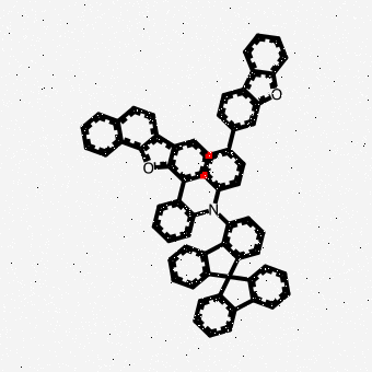 c1ccc(N(c2ccc(-c3ccc4c(c3)oc3ccccc34)cc2)c2cccc3c2-c2ccccc2C32c3ccccc3-c3ccccc32)c(-c2cccc3c2oc2c4ccccc4ccc32)c1